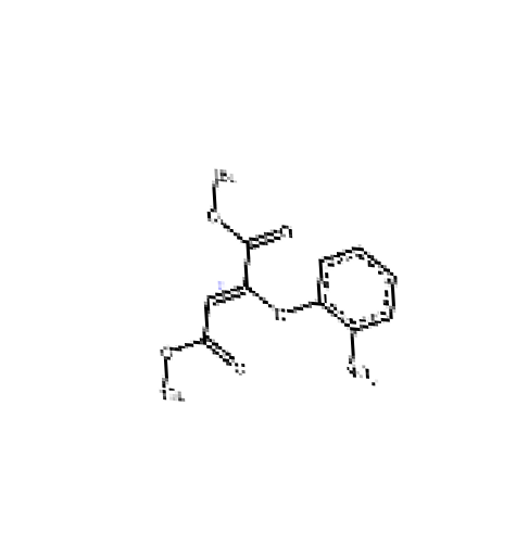 CC(C)(C)OC(=O)/C=C(\Oc1ccccc1[N+](=O)[O-])C(=O)OC(C)(C)C